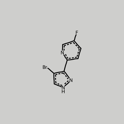 Fc1ccc(-c2n[nH]cc2Br)nc1